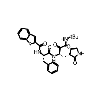 CC(C)(C)NC(=O)C(=O)[C@H](C[C@@H]1CCNC1=O)NC(=O)[C@H](Cc1ccccc1)NC(=O)c1cc2ccccc2s1